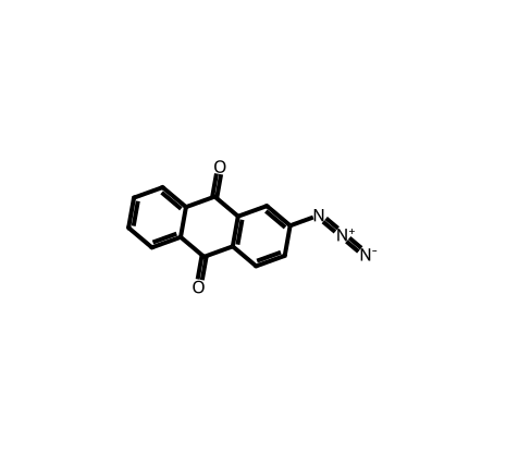 [N-]=[N+]=Nc1ccc2c(c1)C(=O)c1ccccc1C2=O